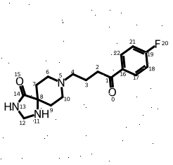 O=C(CCCN1CCC2(CC1)NCNC2=O)c1ccc(F)cc1